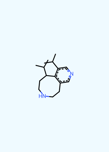 CC(C)c1cncc2c1C(C(C)C)CCNCC2